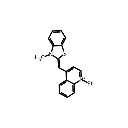 CC[n+]1ccc(/C=C2\Sc3ccccc3N2C)c2ccccc21